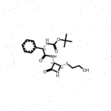 CC(C)(C)OC(=O)N[C@H](C(=O)N[C@H]1C(=O)N[C@H]1SCCO)c1ccccc1